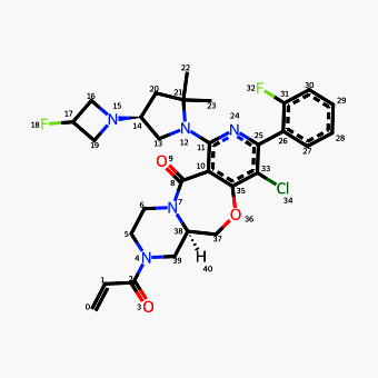 C=CC(=O)N1CCN2C(=O)c3c(N4C[C@@H](N5CC(F)C5)CC4(C)C)nc(-c4ccccc4F)c(Cl)c3OC[C@H]2C1